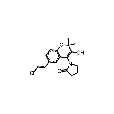 CC1(C)Oc2ccc(C=CCl)cc2C(N2CCCC2=O)=C1O